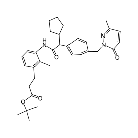 Cc1ccc(=O)n(Cc2ccc(C(C(=O)Nc3cccc(CCC(=O)OC(C)(C)C)c3C)C3CCCC3)cc2)n1